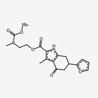 Cc1c(C(=O)OCCN(C)C(=O)OC(C)(C)C)[nH]c2c1C(=O)CC(c1ccco1)C2